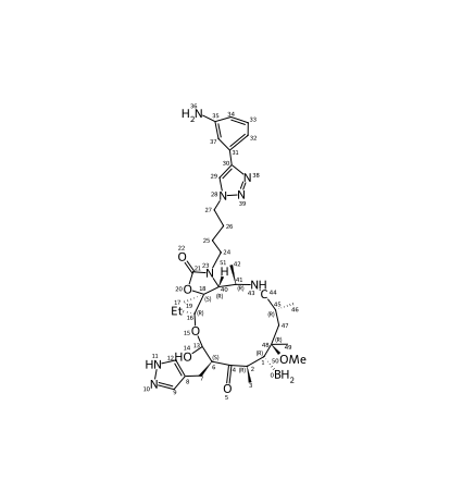 B[C@@H]1[C@@H](C)C(=O)[C@@H](Cc2cn[nH]c2)C(O)O[C@H](CC)[C@@]2(C)OC(=O)N(CCCCn3cc(-c4cccc(N)c4)nn3)[C@@H]2[C@@H](C)NC[C@H](C)C[C@@]1(C)OC